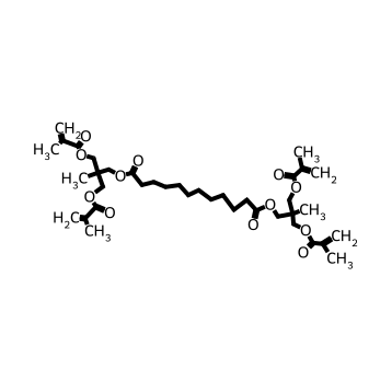 C=C(C)C(=O)OCC(C)(COC(=O)CCCCCCCCCCC(=O)OCC(C)(COC(=O)C(=C)C)COC(=O)C(=C)C)COC(=O)C(=C)C